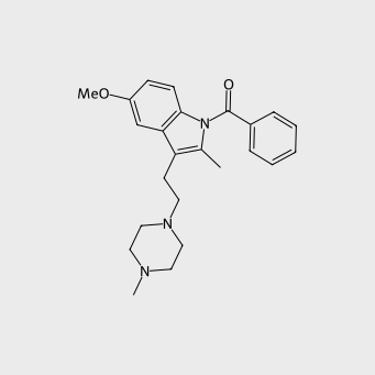 COc1ccc2c(c1)c(CCN1CCN(C)CC1)c(C)n2C(=O)c1ccccc1